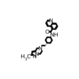 Cc1cc2n(n1)CCN(CC[C@H]1CC[C@H](NC(=O)c3cccc4ncccc34)CC1)C2